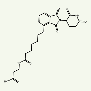 O=C(O)CCNC(=O)CCCCCSc1cccc2c1C(=O)N(C1CCC(=O)NC1=O)C2=O